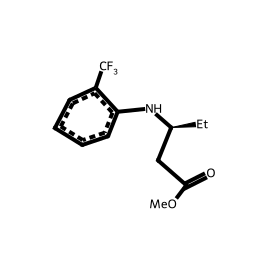 CC[C@@H](CC(=O)OC)Nc1ccccc1C(F)(F)F